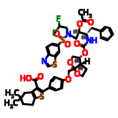 CC(=O)O[C@H](CN(CC(F)F)S(=O)(=O)c1ccc2ncsc2c1)[C@H](Cc1ccccc1)NC(=O)O[C@H]1CO[C@@]2(COc3ccc(-c4sc5c(c4C(=O)O)CC(C)(C)CC5)cc3)OCC[C@@H]12